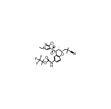 CCn1cc(S(=O)(=O)N2c3cc(NC(=O)OC(C)(C)C(F)(F)F)ccc3O[C@H](CC(C)(C)C#N)[C@H]2C)c(Cl)n1